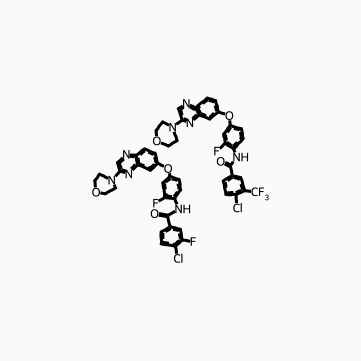 O=C(Nc1ccc(Oc2ccc3ncc(N4CCOCC4)nc3c2)cc1F)c1ccc(Cl)c(C(F)(F)F)c1.O=C(Nc1ccc(Oc2ccc3ncc(N4CCOCC4)nc3c2)cc1F)c1ccc(Cl)c(F)c1